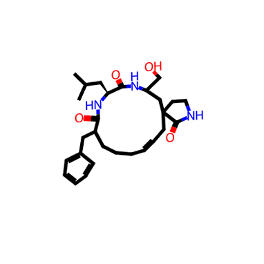 CC(C)C[C@@H]1NC(=O)C(Cc2ccccc2)CCCC=CCC2(CCNC2=O)CC(CO)NC1=O